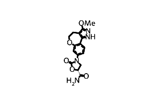 COc1n[nH]c2c1CCOc1cc(N3C[C@H](C(N)=O)OC3=O)ccc1-2